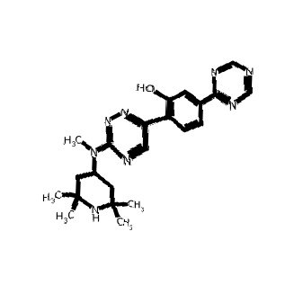 CN(c1ncc(-c2ccc(-c3ncncn3)cc2O)nn1)C1CC(C)(C)NC(C)(C)C1